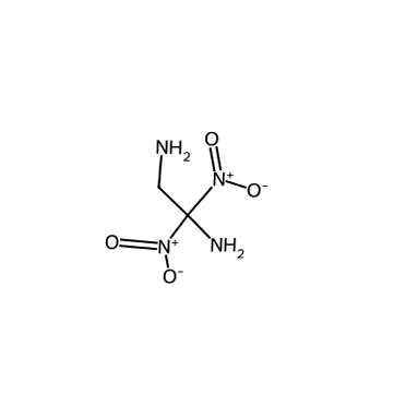 NCC(N)([N+](=O)[O-])[N+](=O)[O-]